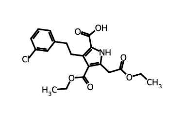 CCOC(=O)Cc1[nH]c(C(=O)O)c(CCc2cccc(Cl)c2)c1C(=O)OCC